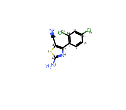 N#Cc1sc(N)nc1-c1ccc(Cl)cc1Cl